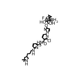 BC(O)(COc1ccn(-c2ccc(C(=O)NSc3cccc(NCCCC4CNC(C)(C)C4)n3)c(Cl)n2)n1)C(B)(O)C1(C(F)(F)F)CC1